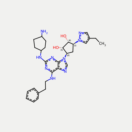 CCc1cnn([C@H]2C[C@@H](n3cnc4c(NCCc5ccccc5)nc(NC5CCC(N)CC5)nc43)[C@H](O)[C@@H]2O)c1